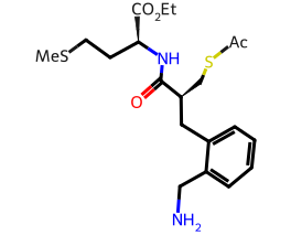 CCOC(=O)[C@H](CCSC)NC(=O)[C@@H](CSC(C)=O)Cc1ccccc1CN